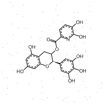 O=C(OC1Cc2c(O)cc(O)cc2O[C@@H]1c1cc(O)c(O)c(O)c1)c1ccc(O)c(O)n1